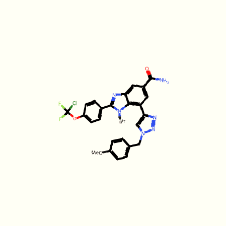 COc1ccc(Cn2cc(-c3cc(C(N)=O)cc4nc(-c5ccc(OC(F)(F)Cl)cc5)n(C(C)C)c34)nn2)cc1